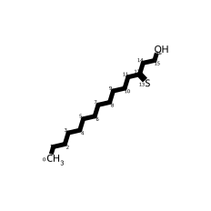 CCCCCCCCCCCCC(=S)CCO